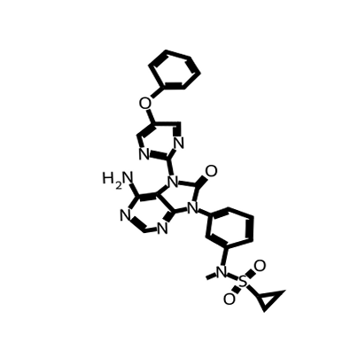 CN(c1cccc(-n2c(=O)n(-c3ncc(Oc4ccccc4)cn3)c3c(N)ncnc32)c1)S(=O)(=O)C1CC1